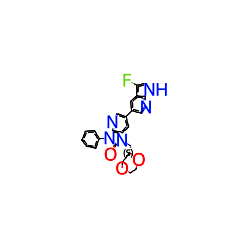 O=c1n(C[C@H]2COCCO2)c2cc(-c3cnc4[nH]cc(F)c4c3)cnc2n1-c1ccccc1